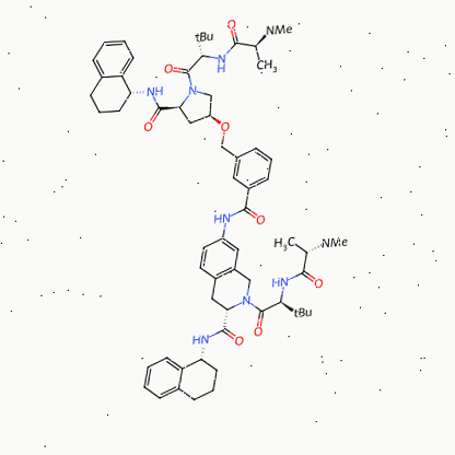 CN[C@@H](C)C(=O)N[C@H](C(=O)N1Cc2cc(NC(=O)c3cccc(CO[C@H]4C[C@@H](C(=O)N[C@@H]5CCCc6ccccc65)N(C(=O)[C@@H](NC(=O)[C@H](C)NC)C(C)(C)C)C4)c3)ccc2C[C@H]1C(=O)N[C@@H]1CCCc2ccccc21)C(C)(C)C